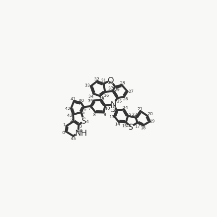 C1=Cc2c(sc3c(-c4ccc(N(c5ccc6sc7ccccc7c6c5)c5cccc6oc7ccccc7c56)cc4)cccc23)NC1